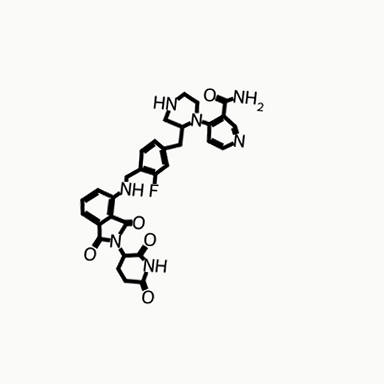 NC(=O)c1cnccc1N1CCNCC1Cc1ccc(CNc2cccc3c2C(=O)N(C2CCC(=O)NC2=O)C3=O)c(F)c1